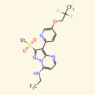 CCS(=O)(=O)c1nn2c(NCC(F)(F)F)ccnc2c1-c1ccc(OCC(F)(F)C(F)(F)F)cn1